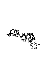 COc1cccc(S(=O)(=O)NCc2ccc(-c3nn(C4CCCNC4)c4ncnc(N)c34)cc2)c1